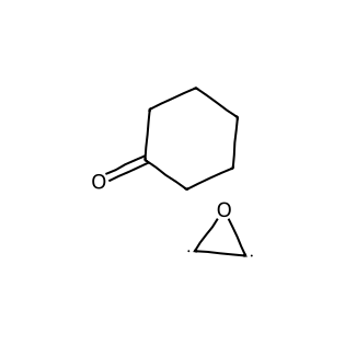 O=C1CCCCC1.[CH]1[CH]O1